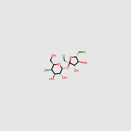 OC[C@H]1O[C@H](O[C@@]2(CCl)O[C@H](CCl)[C@@H](O)[C@@H]2O)[C@H](O)[C@@H](O)[C@H]1Cl